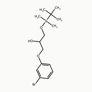 CC(C)(C)[Si](C)(C)OCC(O)COc1cccc(Br)c1